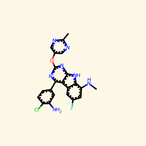 CNc1cc(F)cc2c1[nH]c1nc(Oc3cnc(C)nc3)nc(-c3ccc(Cl)c(N)c3)c12